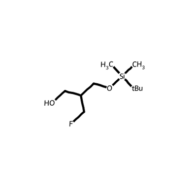 CC(C)(C)[Si](C)(C)OCC(CO)CF